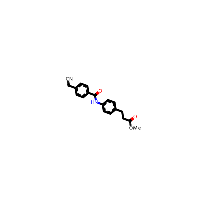 COC(=O)CCc1ccc(NC(=O)c2ccc(CC#N)cc2)cc1